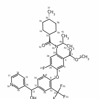 COC(=O)c1cc(Oc2ncc(C(O)c3cccnc3)cc2C(F)(F)F)c(F)cc1N(C(=O)[C@H]1CC[C@H](C)CC1)C(C)C